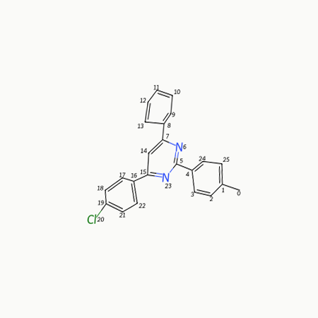 Cc1ccc(-c2nc(-c3ccccc3)cc(-c3ccc(Cl)cc3)n2)cc1